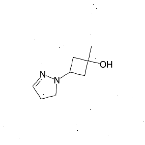 CC1(O)CC(N2CCC=N2)C1